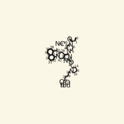 C=CC(=O)N1CCN(c2nc(OC[C@@H]3CCCN3CCCC(=O)OC(C)(C)C)nc3c2CCN(c2cccc4cccc(I)c24)C3)C[C@@H]1CC#N